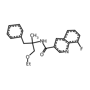 CCOCC(C)(Cc1ccccc1)NC(=O)c1cnc2c(F)cccc2c1